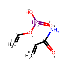 C=CC(N)=O.C=CO[PH](=O)O